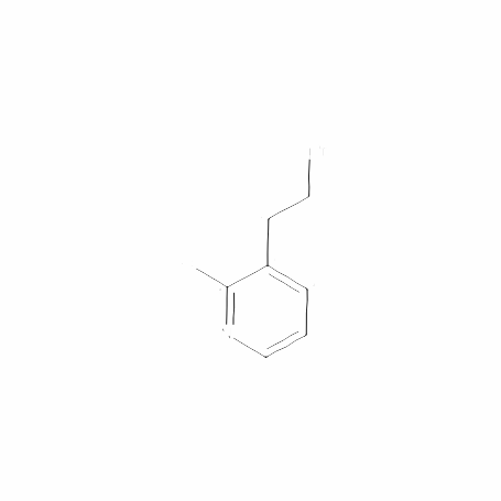 CC(C)CCc1cccnc1[O]